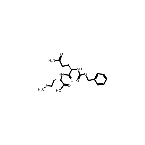 CSCC[C@H](NC(=O)[C@@H](CCC(N)=O)NC(=O)OCc1ccccc1)C(=O)O